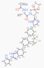 COC(=O)N[C@H](C(=O)N1CC2(C[C@H]1c1ncc(-c3ccc4c(c3)C(F)(F)C(F)(F)c3cc(-c5ccc6nc(-c7ccc[nH]7)[nH]c6c5)ccc3-4)[nH]1)OCCO2)C(C)C